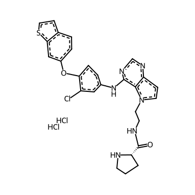 Cl.Cl.O=C(NCCn1ccc2ncnc(Nc3ccc(Oc4ccc5ccsc5c4)c(Cl)c3)c21)[C@@H]1CCCN1